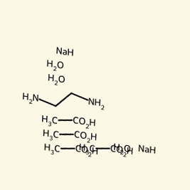 CC(=O)O.CC(=O)O.CC(=O)O.CC(=O)O.NCCN.O.O.O.[NaH].[NaH]